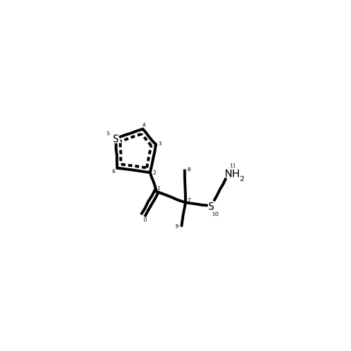 C=C(c1ccsc1)C(C)(C)SN